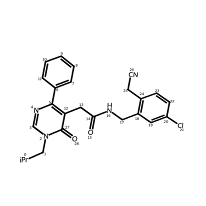 CC(C)Cn1cnc(-c2ccccc2)c(CC(=O)NCc2cc(Cl)ccc2CC#N)c1=O